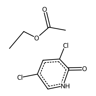 CCOC(C)=O.O=c1[nH]cc(Cl)cc1Cl